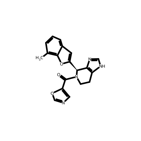 Cc1cccc2cc([C@H]3c4nc[nH]c4CCN3C(=O)c3cnco3)oc12